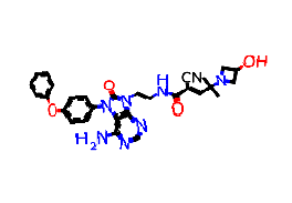 CC(C)(/C=C(\C#N)C(=O)NCCn1c(=O)n(-c2ccc(Oc3ccccc3)cc2)c2c(N)ncnc21)N1CC(O)C1